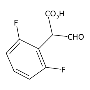 O=CC(C(=O)O)c1c(F)cccc1F